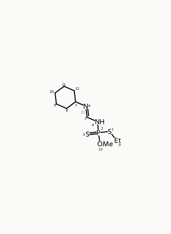 CCSP(=S)(N/C=N/C1CCCCC1)OC